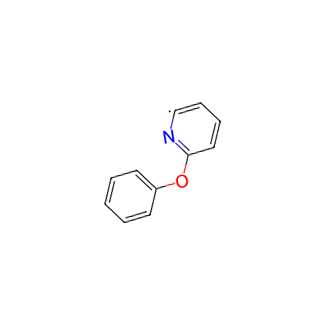 [c]1cccc(Oc2ccccc2)n1